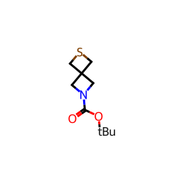 CC(C)(C)OC(=O)N1CC2(CSC2)C1